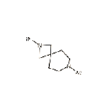 CC(=O)N1CCC2(CC1)CN(C(C)C)C2